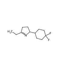 CCC1=NC(C2CCC(F)(F)CC2)CC1